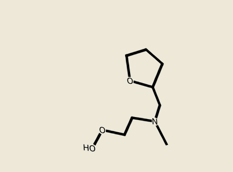 CN(CCOO)CC1CCCO1